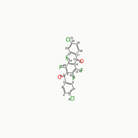 O=C(c1ccc(Cl)cc1)c1c(F)c(F)c(C(=O)c2ccc(Cl)cc2)c(F)c1F